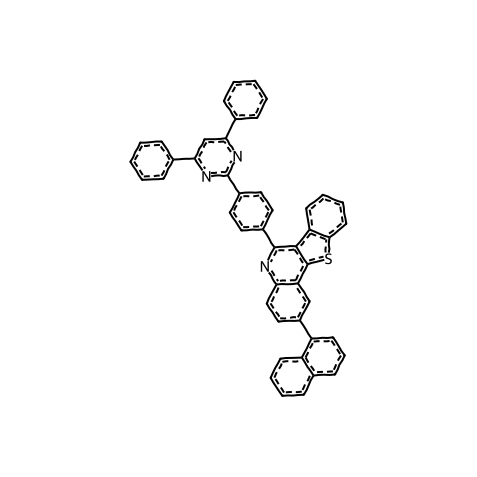 c1ccc(-c2cc(-c3ccccc3)nc(-c3ccc(-c4nc5ccc(-c6cccc7ccccc67)cc5c5sc6ccccc6c45)cc3)n2)cc1